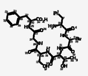 CC[C@H](C)[C@H](NC(=O)[C@@H](N)CC(C)C)C(=O)N[C@H](C(=O)N[C@@H](CO)C(=O)NCC(=O)N[C@@H](Cc1ccccc1)C(=O)O)[C@@H](C)O